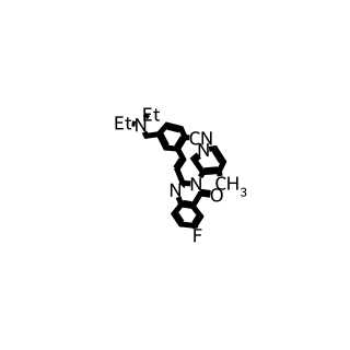 CCN(CC)Cc1ccc(C#N)c(/C=C/c2nc3ccc(F)cc3c(=O)n2-c2cnccc2C)c1